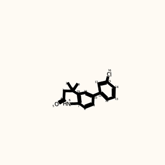 CC1(C)CC(=O)Nc2ccc(-c3cccc(Cl)c3)cc21